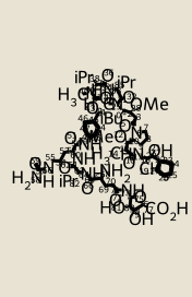 CC[C@H](C)[C@@H]([C@@H](CC(=O)N1CCC[C@H]1[C@H](OC)[C@@H](C)C(=O)N[C@H](C)[C@@H](O)c1ccccc1)OC)N(C)C(=O)[C@@H](NC(=O)[C@H](C(C)C)N(C)C(=O)OCc1ccc(NC(=O)[C@H](CCCNC(N)=O)NC(=O)[C@@H](NC(=O)[C@@H](N)CCC(=O)NC2O[C@H](C(=O)O)[C@@H](O)[C@H]2O)C(C)C)cc1)C(C)C